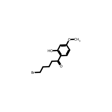 COc1ccc(C(=O)CCCCBr)c(O)c1